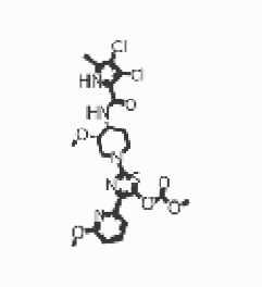 COC(=O)Oc1sc(N2CC[C@@H](NC(=O)c3[nH]c(C)c(Cl)c3Cl)[C@@H](OC)C2)nc1-c1cccc(OC)n1